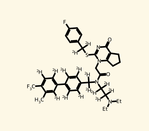 [2H]c1c([2H])c(C([2H])([2H])N(C(=O)Cn2c(SC([2H])([2H])c3ccc(F)cc3)nc(=O)c3c2CCC3)C([2H])([2H])C([2H])([2H])N(CC)CC)c([2H])c([2H])c1-c1c([2H])c([2H])c(C(F)(F)F)c(C)c1[2H]